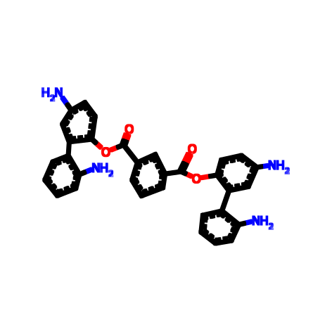 Nc1ccc(OC(=O)c2cccc(C(=O)Oc3ccc(N)cc3-c3ccccc3N)c2)c(-c2ccccc2N)c1